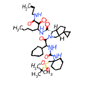 C=CCNC(=O)C(=O)C(CCCC)NC(=O)[C@@H]1[C@H]2CCC3(CC3)[C@H]2CN1C(=O)[C@@H](NC(=O)NC1(CS(=O)(=O)C(C)(C)C)CCCCC1)C1CCCCC1